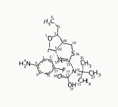 CCC1OC[C@]2(c3cc(N)ccc3F)N=C(N(C(=O)O)C(C)(C)C)SCC12